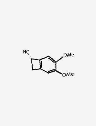 COc1cc2c(cc1OC)[C@@H](C#N)C2